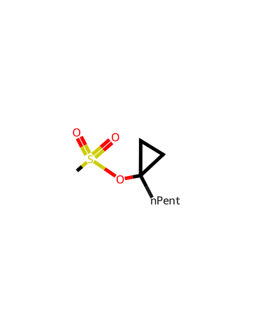 CCCCCC1(OS(C)(=O)=O)CC1